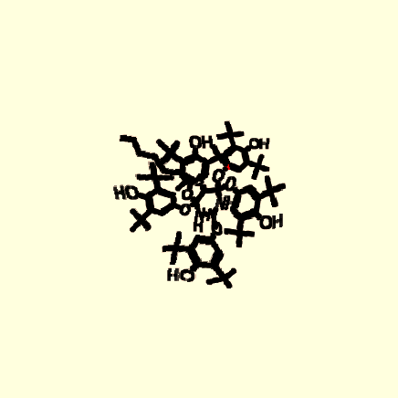 CCCCCCC(C)SC1C(Oc2cc(C(C)(C)C)c(O)c(C(C)(C)C)c2)(Oc2cc(C(C)(C)C)c(O)c(C(C)(C)C)c2)NN(Oc2cc(C(C)(C)C)c(O)c(C(C)(C)C)c2)NC1(Oc1cc(C(C)(C)C)c(O)c(C(C)(C)C)c1)Oc1cc(C(C)(C)C)c(O)c(C(C)(C)C)c1